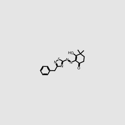 CC1(C)CCC(=O)C(N=Nc2nc(Cc3ccccc3)ns2)=C1O